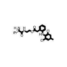 CC1C=C(Cl)C(Nc2ccccc2CC(=O)OCCNC(=O)[C@@H](N)C(C)C)=C(Cl)C1